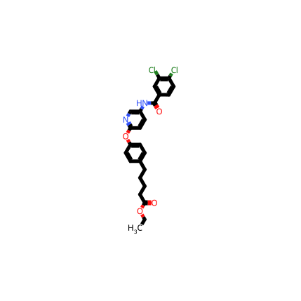 CCOC(=O)CCCCc1ccc(Oc2ccc(NC(=O)c3ccc(Cl)c(Cl)c3)cn2)cc1